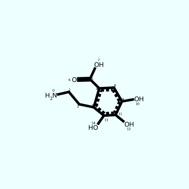 NCCc1c(C(=O)O)cc(O)c(O)c1O